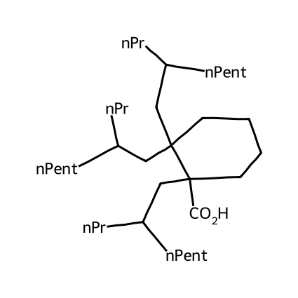 CCCCCC(CCC)CC1(CC(CCC)CCCCC)CCCCC1(CC(CCC)CCCCC)C(=O)O